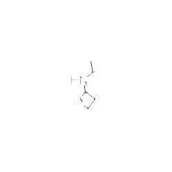 [CH2]CNC1CCO1